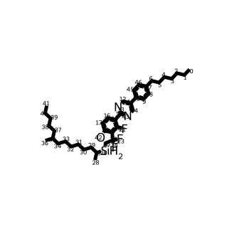 CCCCCCCc1ccc(-c2cnc(-c3ccc4c(c3F)C(F)(F)C([SiH2]C(C)CCCCCCC(C)CCCCC)O4)nc2)cc1